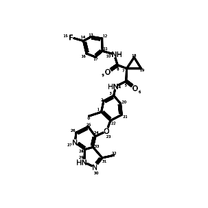 Cc1cc(NC(=O)C2(C(=O)Nc3ccc(F)cc3)CC2)ccc1Oc1ccnc2[nH]nc(C)c12